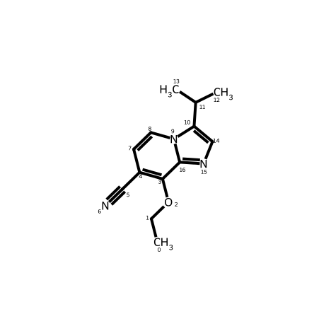 CCOc1c(C#N)ccn2c(C(C)C)cnc12